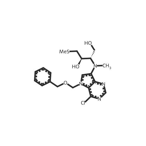 CSC[C@H](O)[C@H](CO)N(C)c1cn(COCc2ccccc2)c2c(Cl)ncnc12